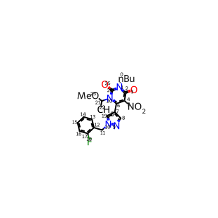 CCCCn1c(=O)c([N+](=O)[O-])c(-c2cnn(Cc3ccccc3F)c2)n(C(C)OC)c1=O